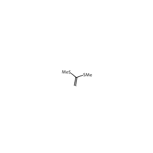 [CH]=C(SC)SC